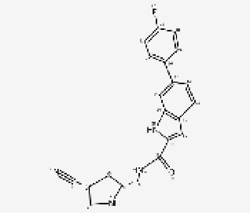 N#C[C@H]1CN[C@@H](CNC(=O)c2cc3ccc(-c4ccc(F)cc4)cc3[nH]2)C1